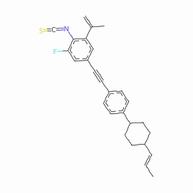 C=C(C)c1cc(C#Cc2ccc(C3CCC(/C=C/C)CC3)cc2)cc(F)c1N=C=S